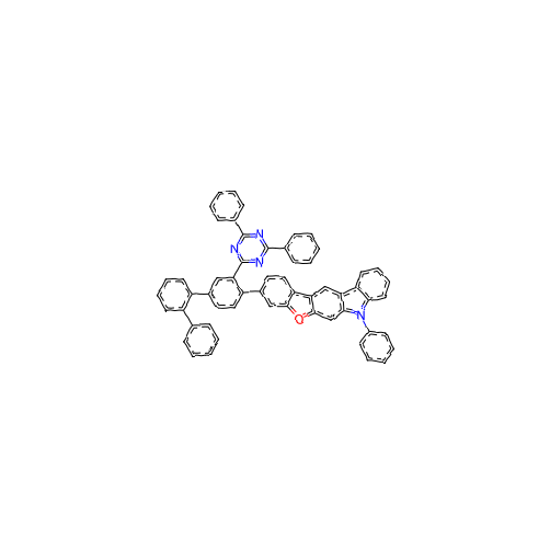 c1ccc(-c2nc(-c3ccccc3)nc(-c3cc(-c4ccccc4-c4ccccc4)ccc3-c3ccc4c(c3)oc3cc5c(cc34)c3ccccc3n5-c3ccccc3)n2)cc1